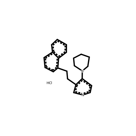 Cl.c1ccc2c(CCc3cnccc3N3CCCCC3)cccc2c1